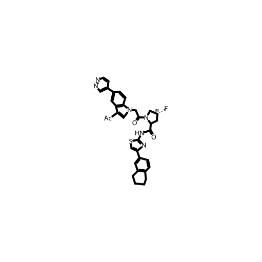 CC(=O)c1cn(CC(=O)N2C[C@H](F)CC2C(=O)Nc2nc(-c3ccc4c(c3)CCCC4)cs2)c2ccc(-c3ccnnc3)cc12